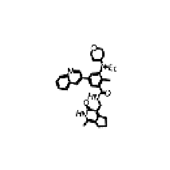 CCN(c1cc(-c2cnc3ccccc3c2)cc(C(=O)NCc2c3c(c(C)[nH]c2=O)CCC3)c1C)C1CCOCC1